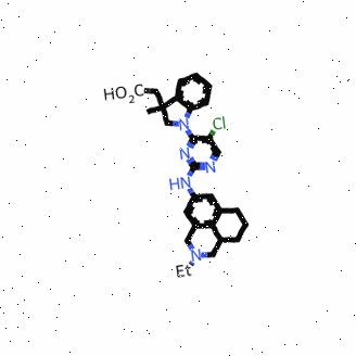 CCN1Cc2cc(Nc3ncc(Cl)c(N4CC(C)(CC(=O)O)c5ccccc54)n3)cc3c2C(CCC3)C1